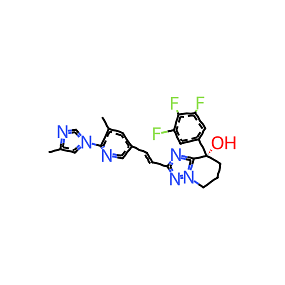 Cc1cn(-c2ncc(/C=C/c3nc4n(n3)CCC[C@]4(O)c3cc(F)c(F)c(F)c3)cc2C)cn1